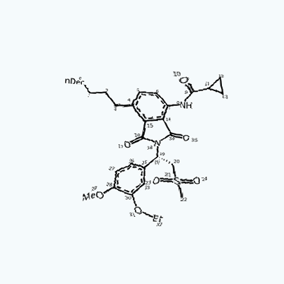 CCCCCCCCCCCCCc1ccc(NC(=O)C2CC2)c2c1C(=O)N([C@H](CS(C)(=O)=O)c1ccc(OC)c(OCC)c1)C2=O